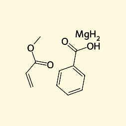 C=CC(=O)OC.O=C(O)c1ccccc1.[MgH2]